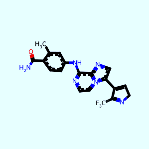 Cc1cc(Nc2nccn3c(C4=CCN=C4C(F)(F)F)cnc23)ccc1C(N)=O